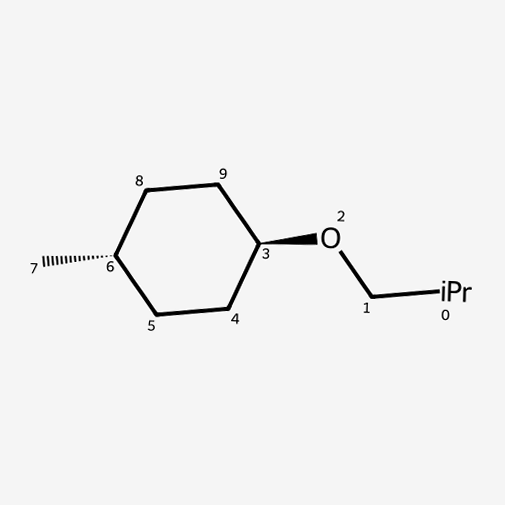 CC(C)CO[C@H]1CC[C@H](C)CC1